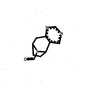 O=CN1C2CCC1c1cncnc1C2